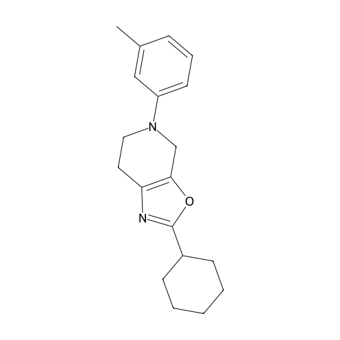 Cc1cccc(N2CCc3nc(C4CCCCC4)oc3C2)c1